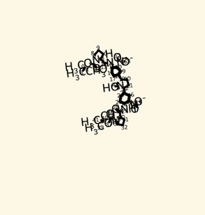 CC(C)(C)OC(=O)N1CCCC1C(=O)Nc1ccc(C2CCC(c3ccc(NC(=O)C4CCCN4C(=O)OC(C)(C)C)c([N+](=O)[O-])c3)N2O)cc1[N+](=O)[O-]